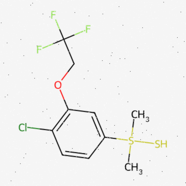 CS(C)(S)c1ccc(Cl)c(OCC(F)(F)F)c1